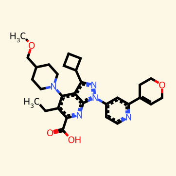 CCc1c(C(=O)O)nc2c(c(C3CCC3)nn2-c2ccnc(C3=CCOCC3)c2)c1N1CCC(COC)CC1